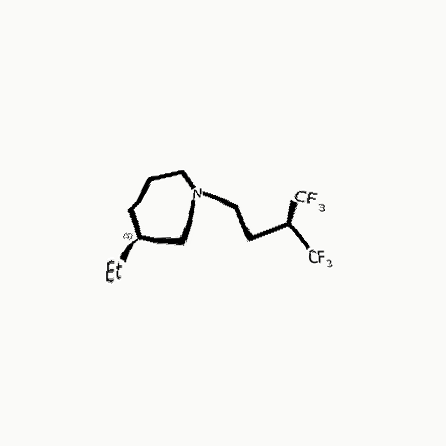 CC[C@H]1CCCN(CCC(C(F)(F)F)C(F)(F)F)C1